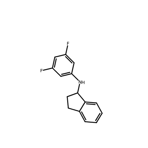 Fc1cc(F)cc(NC2CCc3ccccc32)c1